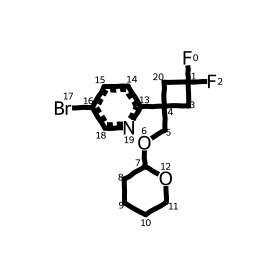 FC1(F)CC(COC2CCCCO2)(c2ccc(Br)cn2)C1